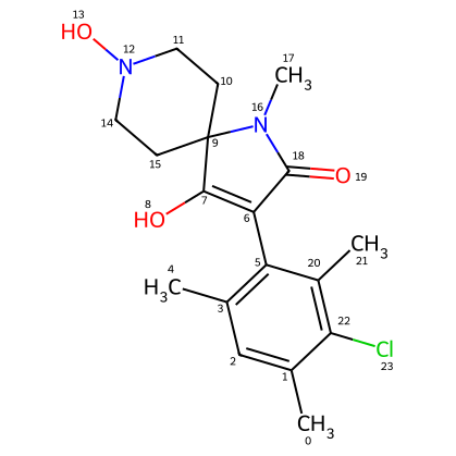 Cc1cc(C)c(C2=C(O)C3(CCN(O)CC3)N(C)C2=O)c(C)c1Cl